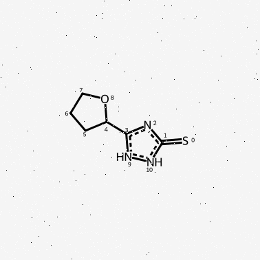 S=c1nc(C2CCCO2)[nH][nH]1